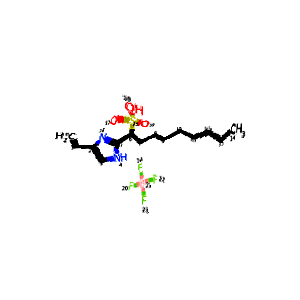 C=Cc1c[nH]c(C(CCCCCCCC)S(=O)(=O)O)n1.F[B-](F)(F)F